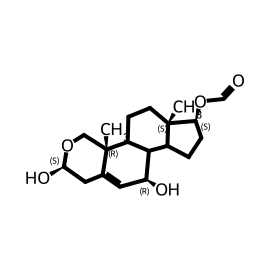 C[C@]12CO[C@H](O)CC1=C[C@H](O)C1C2CC[C@@]2(C)C1CC[C@@H]2OC=O